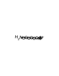 [N-]=[N+]=NCCOCCOCCOCCOCCOCCOCCN